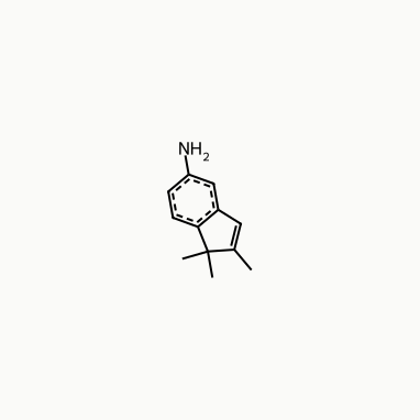 CC1=Cc2cc(N)ccc2C1(C)C